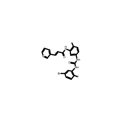 Cc1ccc(NC(=O)Nc2cc(Br)ccc2F)cc1NC(=O)/C=C/c1cccnc1